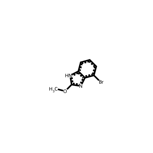 COc1nc2c(Br)cccc2[nH]1